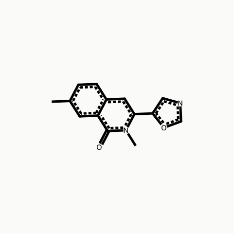 Cc1ccc2cc(-c3cnco3)n(C)c(=O)c2c1